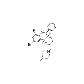 CC1CCN(C[C@H]2CC[C@@H]3[C@H](O2)c2cc(Br)cc(F)c2N[C@H]3c2ccccc2)CC1